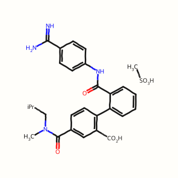 CC(C)CN(C)C(=O)c1ccc(-c2ccccc2C(=O)Nc2ccc(C(=N)N)cc2)c(C(=O)O)c1.CS(=O)(=O)O